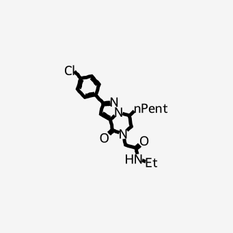 CCCCCC1CN(CC(=O)NCC)C(=O)c2cc(-c3ccc(Cl)cc3)nn21